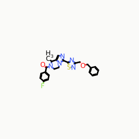 CC1c2cnc(-c3nc(COCc4ccccc4)ns3)n2CCN1C(=O)c1ccc(F)cc1